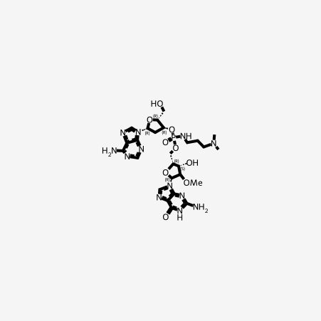 COC1[C@@H](O)[C@@H](COP(=O)(NCCCN(C)C)O[C@@H]2C[C@H](n3cnc4c(N)ncnc43)O[C@@H]2CO)O[C@H]1n1cnc2c(=O)[nH]c(N)nc21